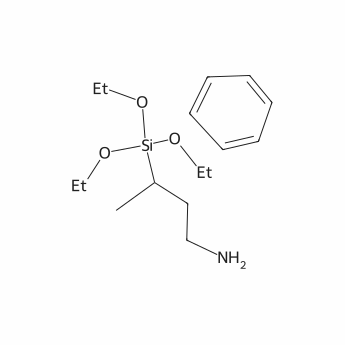 CCO[Si](OCC)(OCC)C(C)CCN.c1ccccc1